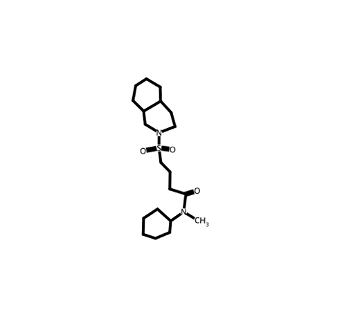 CN(C(=O)CCCS(=O)(=O)N1CCC2CCCCC2C1)C1CCCCC1